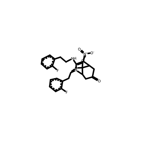 COC1(OC)C2CC(=O)CC1N(CCc1ccccc1F)C(NCCc1ccccc1F)=C2[N+](=O)[O-]